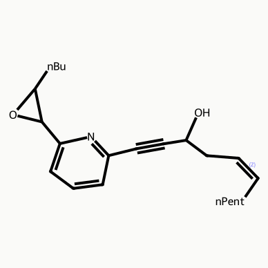 CCCCC/C=C\CC(O)C#Cc1cccc(C2OC2CCCC)n1